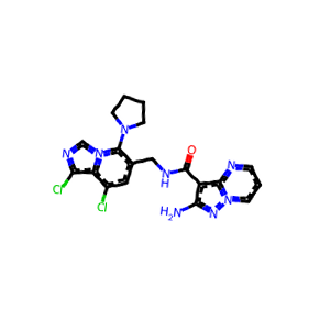 Nc1nn2cccnc2c1C(=O)NCc1cc(Cl)c2c(Cl)ncn2c1N1CCCC1